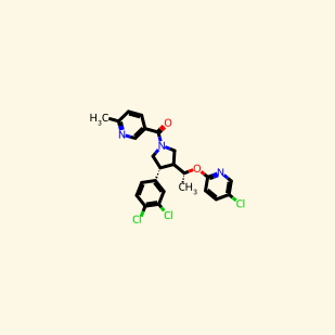 Cc1ccc(C(=O)N2CC([C@@H](C)Oc3ccc(Cl)cn3)[C@H](c3ccc(Cl)c(Cl)c3)C2)cn1